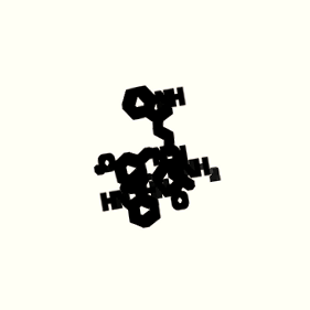 COc1cccc(Cn2c(CCc3c[nH]c4ccccc34)nnc2[C@@H](Cc2c[nH]c3ccccc23)NC(=O)C(C)(C)N)c1